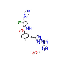 Cc1ccc(C(=O)Nc2ccc(CN3CCN(C)CC3)c(F)c2)cc1C#Cc1cnc(Nc2cnn(CCCO)c2)nc1